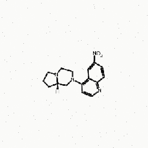 O=[N+]([O-])c1ccc2nccc(N3CCN4CCC[C@H]4C3)c2c1